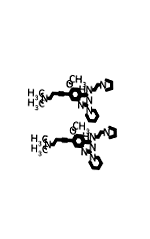 COc1cc2c(NCCN3CCCC3)nc(N3CCCCC3)nc2cc1C#CCCN(C)C.COc1cc2c(NCCN3CCCC3)nc(N3CCCCC3)nc2cc1C#CCCN(C)C